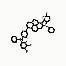 Cc1ccc2c(n1)c1c3ccc4ccc(-c5ccc(N(c6ccccc6)c6ccc(F)c(F)c6F)cc5)c5ccc(cc1n2-c1ccccc1)c3c45